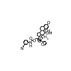 CC12C=CC(=O)C=C1CCC1C2[C@@H](O)CC2(C)C1CC[C@]2(OC(=O)c1ccco1)C(=O)COC(=O)Nc1cccc(C#N)c1